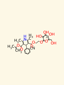 C=C(C)OC(=O)C1=C(C)NC(C)=C(C(=O)OCCO[C@@H]2O[C@H](CO)[C@@H](O)[C@H](O)[C@H]2O)C1c1ccccc1C#N